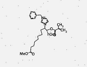 C=C(C)C(=O)OC(CCCCCCCC)C(CCCCCCCC(=O)OC)n1cc[n+](Cc2ccccc2)c1